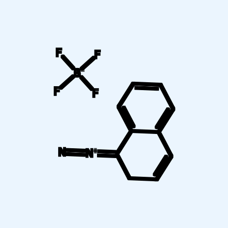 F[B-](F)(F)F.[N-]=[N+]=C1CC=Cc2ccccc21